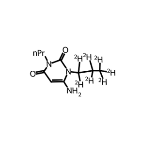 [2H]C([2H])([2H])C([2H])([2H])C([2H])([2H])n1c(N)cc(=O)n(CCC)c1=O